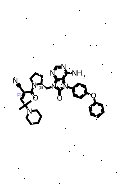 CC(C)(/C=C(/C#N)C(=O)N1CCC[C@H]1Cn1c(=O)n(-c2ccc(Oc3ccccc3)cc2)c2c(N)ncnc21)N1CCCCC1